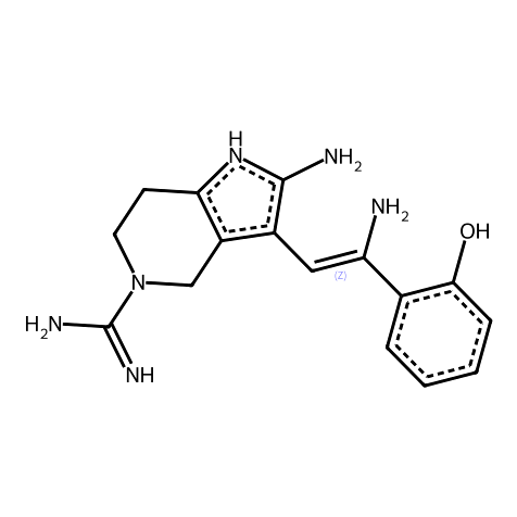 N=C(N)N1CCc2[nH]c(N)c(/C=C(\N)c3ccccc3O)c2C1